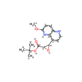 COc1ccc2nccc(C3OC3C(=O)OC(C)(C)C)c2n1